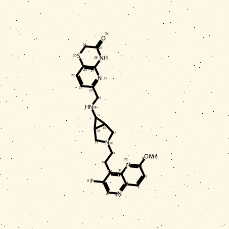 COc1ccc2ncc(F)c(CCN3CC4C(C3)C4NCc3ccc4c(n3)NC(=O)CS4)c2n1